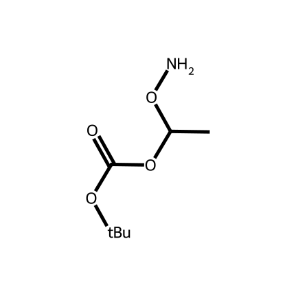 CC(ON)OC(=O)OC(C)(C)C